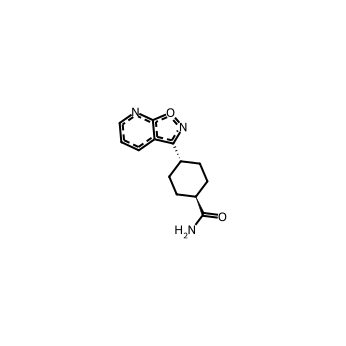 NC(=O)[C@H]1CC[C@H](c2noc3ncccc32)CC1